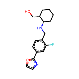 OC[C@@H]1CCCC[C@H]1NCc1ccc(-c2ncco2)cc1F